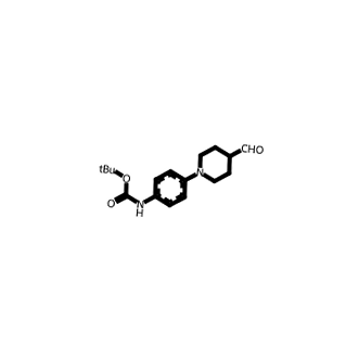 CC(C)(C)OC(=O)Nc1ccc(N2CCC(C=O)CC2)cc1